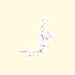 Nc1ncnc2c1c(-c1ccc(Oc3ccccc3)cc1)nn2C1CCCN(C(=O)c2cnc(N3CCC(CN4CCN(C(=O)O)CC4)CC3)o2)C1